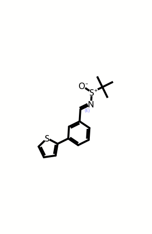 CC(C)(C)[S+]([O-])/N=C/c1cccc(-c2cccs2)c1